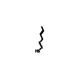 CC=CCSSS